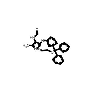 Cc1nn(CCOC(c2ccccc2)(c2ccccc2)c2ccccc2)c(N)c1NC=O